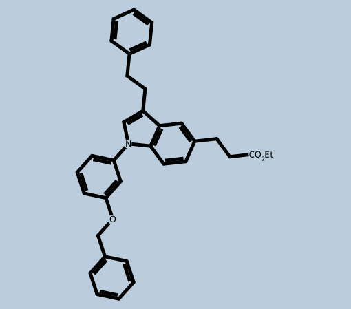 CCOC(=O)CCc1ccc2c(c1)c(CCc1ccccc1)cn2-c1cccc(OCc2ccccc2)c1